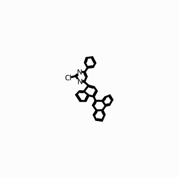 Clc1nc(-c2ccccc2)cc(-c2ccc(-c3cc4ccccc4c4ccccc34)c3ccccc23)n1